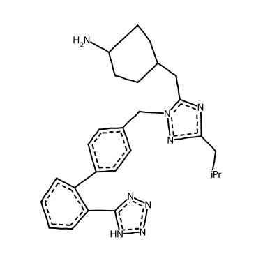 CC(C)Cc1nc(CC2CCC(N)CC2)n(Cc2ccc(-c3ccccc3-c3nnn[nH]3)cc2)n1